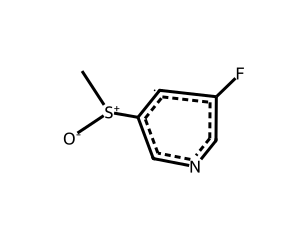 C[S+]([O-])c1[c]c(F)cnc1